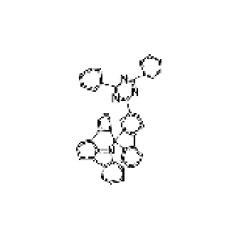 c1ccc(-c2nc(-c3ccccc3)nc(-c3ccc4c(c3)C3(c5ccccc5-4)c4ccccc4-c4cccc5c6ccccc6n3c45)n2)cc1